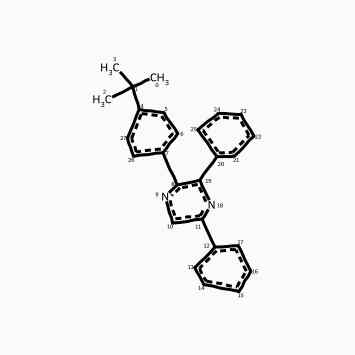 CC(C)(C)c1ccc(-c2ncc(-c3ccccc3)nc2-c2ccccc2)cc1